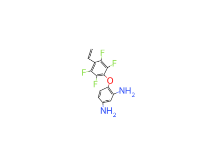 C=Cc1c(F)c(F)c(Oc2ccc(N)cc2N)c(F)c1F